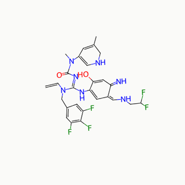 C=CN(Cc1cc(F)c(F)c(F)c1)/C(=N\C(=O)N(C)C1=CNCC(C)=C1)NC1=C/C(=C/NCC(F)F)C(=N)C=C1O